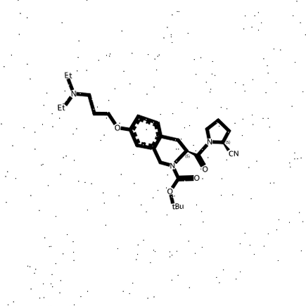 CCN(CC)CCCOc1ccc2c(c1)CN(C(=O)OC(C)(C)C)[C@H](C(=O)N1CCC[C@H]1C#N)C2